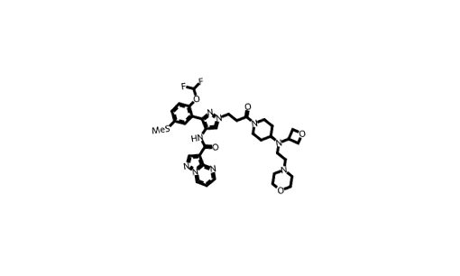 CSc1ccc(OC(F)F)c(-c2nn(CCC(=O)N3CCC(N(CCN4CCOCC4)C4COC4)CC3)cc2NC(=O)c2cnn3cccnc23)c1